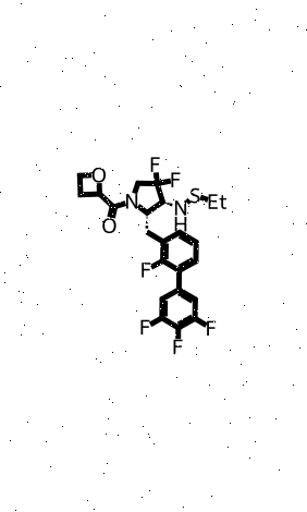 CCSN[C@@H]1[C@H](Cc2cccc(-c3cc(F)c(F)c(F)c3)c2F)N(C(=O)C2CCO2)CC1(F)F